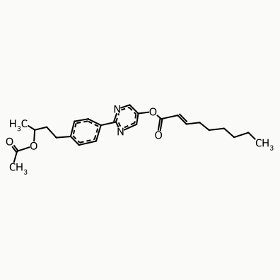 CCCCCCC=CC(=O)Oc1cnc(-c2ccc(CCC(C)OC(C)=O)cc2)nc1